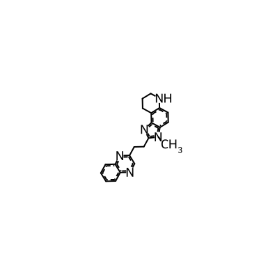 Cn1c(CCc2cnc3ccccc3n2)nc2c3c(ccc21)NCCC3